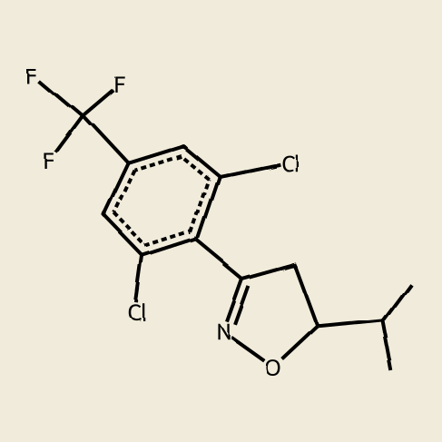 CC(C)C1CC(c2c(Cl)cc(C(F)(F)F)cc2Cl)=NO1